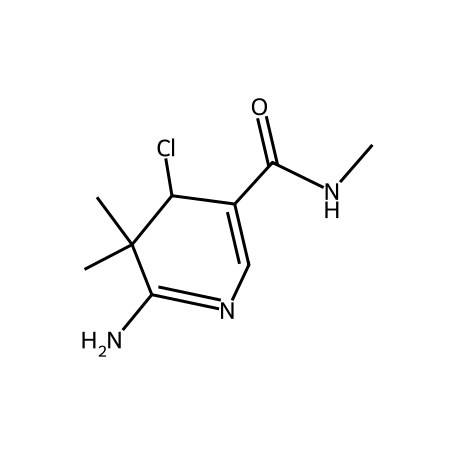 CNC(=O)C1=CN=C(N)C(C)(C)C1Cl